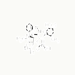 CCC(CC)CC(/C=C/c1ccccc1)(C(=O)[C@@H](C)N)[C@@H](C(=O)NO)[C@@H](CC(C)C)C(=O)NN.Cc1ccc(S(=O)(=O)O)cc1